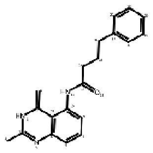 C=C1NC(C)=Nc2cccc(NC(=O)CCCc3ccccc3)c21